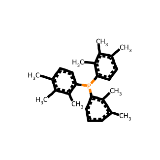 Cc1cccc(P(c2ccc(C)c(C)c2C)c2ccc(C)c(C)c2C)c1C